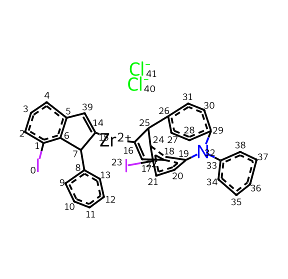 Ic1cccc2c1C(c1ccccc1)[C]([Zr+2][C]1=Cc3c4ccc(I)c3C1c1ccc(cc1)N4c1ccccc1)=C2.[Cl-].[Cl-]